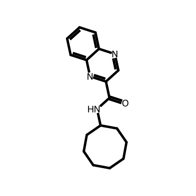 O=C(NC1CCCCCCC1)c1cnc2ccccc2n1